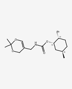 CC(C)[C@@H]1CC[C@@H](C)C[C@@H]1OC(=O)NCC1=COC(C)(C)OC1